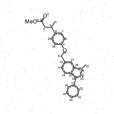 COC(=O)CC(C)c1ccc(OCc2ccc3c(-c4ccccc4)nn(C)c3c2)cc1